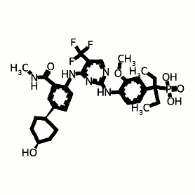 CCC(CC)(c1ccc(Nc2ncc(C(F)(F)F)c(Nc3ccc([C@H]4CC[C@@H](O)CC4)cc3C(=O)NC)n2)c(OC)c1)P(=O)(O)O